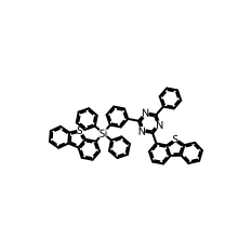 c1ccc(-c2nc(-c3cccc([Si](c4ccccc4)(c4ccccc4)c4cccc5c4sc4ccccc45)c3)nc(-c3cccc4c3sc3ccccc34)n2)cc1